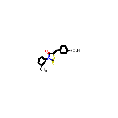 Cc1cccc(N2C(=O)/C(=C/c3ccc(S(=O)(=O)O)cc3)SC2=S)c1